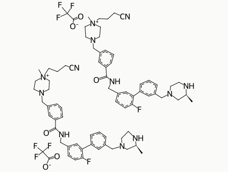 C[C@H]1CN(Cc2cccc(-c3cc(CNC(=O)c4cccc(CN5CC[N+](C)(CCCC#N)CC5)c4)ccc3F)c2)CCN1.C[C@H]1CN(Cc2cccc(-c3cc(CNC(=O)c4cccc(CN5CC[N+](C)(CCCC#N)CC5)c4)ccc3F)c2)CCN1.O=C([O-])C(F)(F)F.O=C([O-])C(F)(F)F